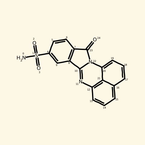 NS(=O)(=O)c1ccc2c(c1)C1=Nc3cccc4cccc(c34)N1C2=O